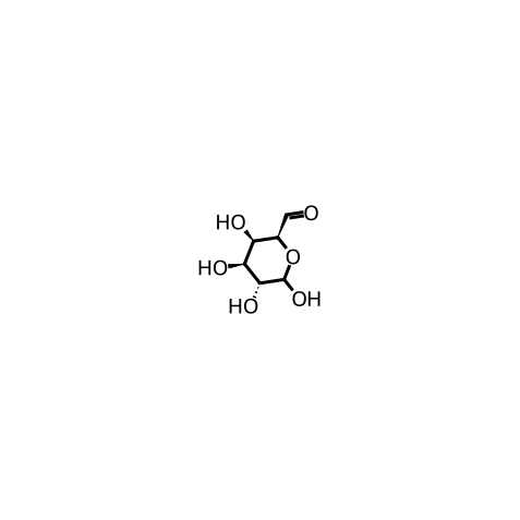 O=C[C@H]1OC(O)[C@H](O)[C@@H](O)[C@H]1O